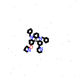 c1ccc(CN2c3ccc(Oc4ccccn4)cc3B3c4cc(-c5ccccn5)ccc4N(Cc4ccccc4)c4cccc2c43)cc1